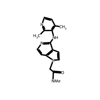 CNC(=O)Cn1ccc2c(Nc3c(C)ccnc3C)nccc21